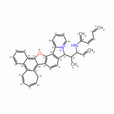 C=C/C=C\C(=C)NC(C=C)C(C)C1c2ccc3c(oc4c5ccccc5c5c(c34)CC=CC=C5)c2-c2cccc[n+]21